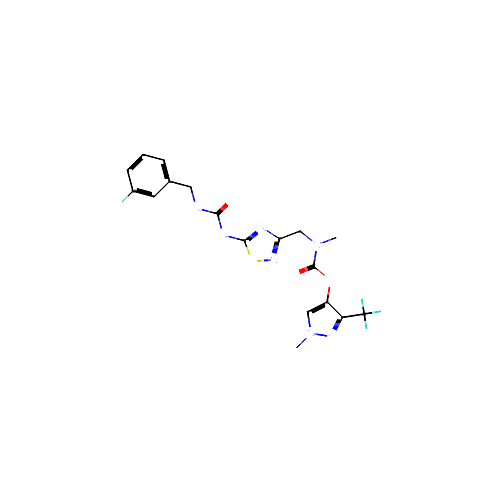 CN(Cc1nsc(NC(=O)NCc2cccc(F)c2)n1)C(=O)Oc1cn(C)nc1C(F)(F)F